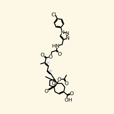 CC(=O)OC12CCC(C(=O)O)=CCC13CCC2C(C)(/C=C/C=C(\C)C(=O)OCC(=O)NCc1cn(-c2ccc(Cl)cc2)nn1)OC3=O